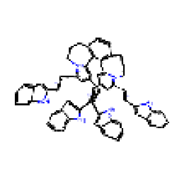 C(=C\c1cc2ccccc2[nH]1)/c1cc(/C=C/c2cc3ccccc3[nH]2)[n+]2c(c1)-c1c(ccc3c1-c1cc(/C=C/c4cc5ccccc5[nH]4)cc(/C=C/c4cc5ccccc5[nH]4)[n+]1CCC3)CCC2